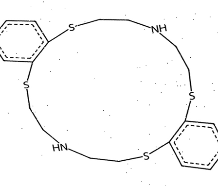 c1ccc2c(c1)SCCNCCSc1ccccc1SCCNCCS2